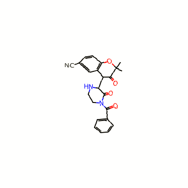 CC1(C)Oc2ccc(C#N)cc2C(C2NCCN(C(=O)c3ccccc3)C2=O)C1=O